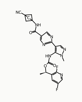 C[C@@H](OC(=O)Nc1c(-c2ncc(C(=O)NC34CC(C#N)(C3)C4)cn2)cnn1C)c1cc(F)cnc1F